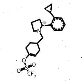 O=S(=O)(OC1=CCC(CN2CCC[C@H]2c2ccccc2C2CC2)CC1)C(F)(F)F